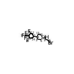 Fc1cc(C2CC[SiH](CCCBr)CC2)cc(F)c1C(F)(F)F